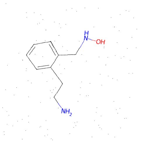 NCCc1ccccc1CNO